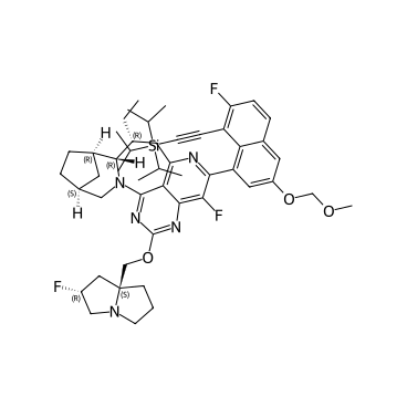 CC[C@@H]1Cc2nc(-c3cc(OCOC)cc4ccc(F)c(C#C[Si](C(C)C)(C(C)C)C(C)C)c34)c(F)c3nc(OC[C@@]45CCCN4C[C@H](F)C5)nc(c23)N2C[C@H]3CC[C@H](C3)[C@H]12